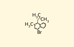 Cc1cc(Br)c2ccccc2c1CC(C)C